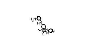 CCN(C(=O)c1nc2cc(F)ccc2[nH]1)[C@H]1CCC[C@@H](NCc2cccc(N)c2)C1